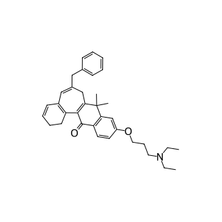 CCN(CC)CCCOc1ccc2c(c1)C(C)(C)C1=C(C2=O)C2=C(C=CCC2)C=C(Cc2ccccc2)C1